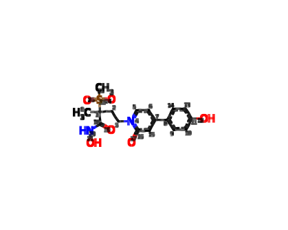 CC(CCn1ccc(-c2ccc(O)cc2)cc1=O)(C(=O)NO)S(C)(=O)=O